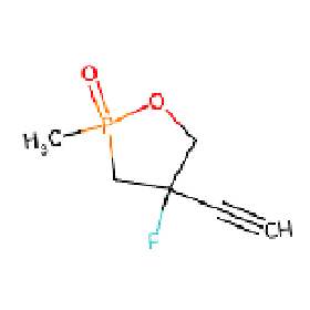 C#CC1(F)COP(C)(=O)C1